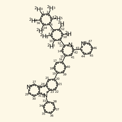 [2H]c1c([2H])c([2H])c(-c2c([2H])c([2H])c(-c3cc(-c4ccc(-c5ccc6c(c5)c5cnccc5n6-c5ccccc5)cc4)cc(-c4ccccn4)n3)c([2H])c2[2H])c([2H])c1[2H]